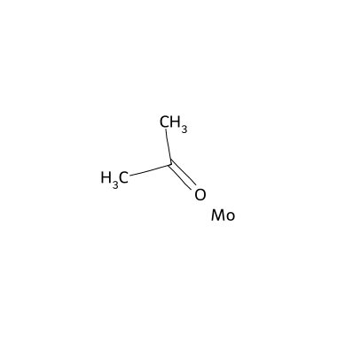 CC(C)=O.[Mo]